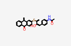 C=C(Sc1ccc2c(c1)C(=C)c1ccccc1C2=O)/C(O)=C\c1ccc(NC(C)=O)cc1